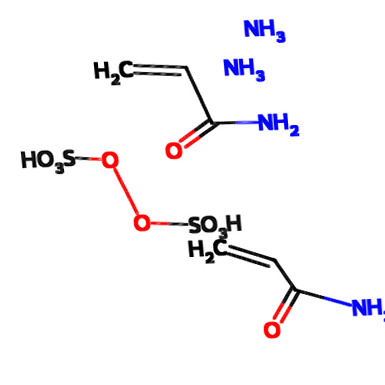 C=CC(N)=O.C=CC(N)=O.N.N.O=S(=O)(O)OOS(=O)(=O)O